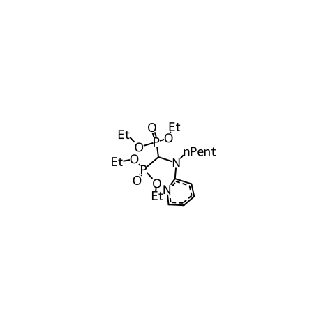 CCCCCN(c1ccccn1)C(P(=O)(OCC)OCC)P(=O)(OCC)OCC